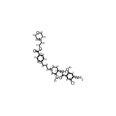 COc1cc(N)c(Cl)cc1C(=O)N[C@@H]1CCN(CCCc2ccc(C(=O)OCCN3CCOCC3)cc2)C[C@@H]1OC